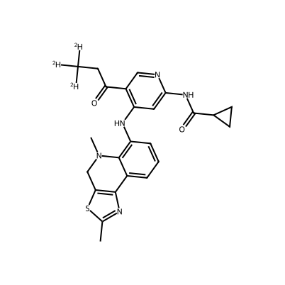 [2H]C([2H])([2H])CC(=O)c1cnc(NC(=O)C2CC2)cc1Nc1cccc2c1N(C)Cc1sc(C)nc1-2